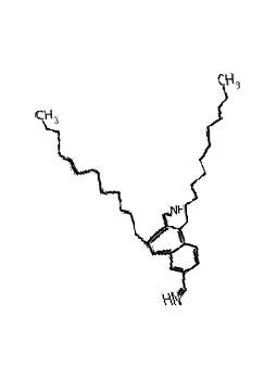 CCCCCCCCCCCCc1cc2cc(C=N)ccc2c(CCCCCCCCCCCC)c1C=N